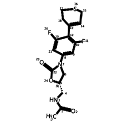 CC(=O)NC[C@H]1CN(c2cc(F)c(C3=CCSCC3)c(F)c2)C(=O)O1